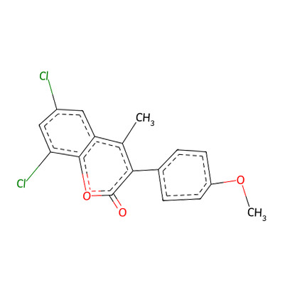 COc1ccc(-c2c(C)c3cc(Cl)cc(Cl)c3oc2=O)cc1